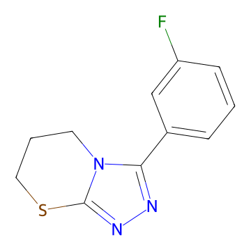 Fc1cccc(-c2nnc3n2CCCS3)c1